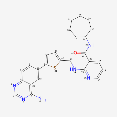 Nc1ncnc2ccc(-c3ccc(CNc4ncccc4C(=O)NC4CCCCCC4)s3)cc12